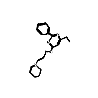 CCc1cc(OCCCN2CCCCC2)nc(-c2ccccc2)n1